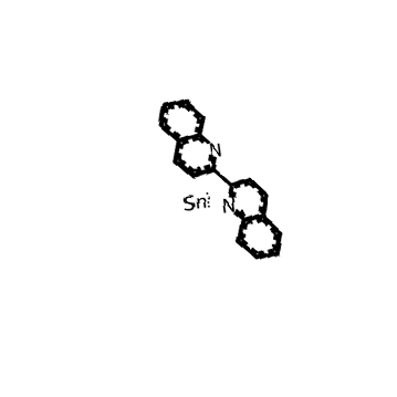 [Sn].c1ccc2nc(-c3ccc4ccccc4n3)ccc2c1